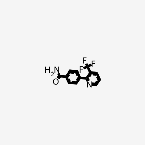 NC(=O)c1ccc(-c2ncccc2C(F)(F)F)cc1